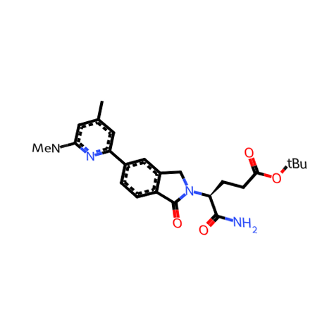 CNc1cc(C)cc(-c2ccc3c(c2)CN([C@@H](CCC(=O)OC(C)(C)C)C(N)=O)C3=O)n1